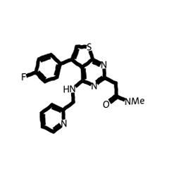 CNC(=O)Cc1nc(NCc2ccccn2)c2c(-c3ccc(F)cc3)csc2n1